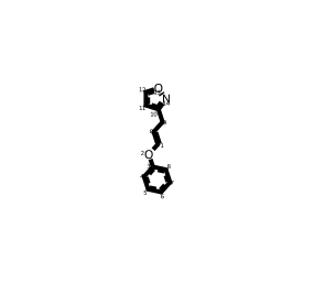 C(=COc1ccccc1)Cc1ccon1